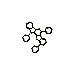 c1ccc(-c2cccc3c2sc2c3c(-c3ccccc3)cc3c4ccccc4n(-c4ccccc4)c32)cc1